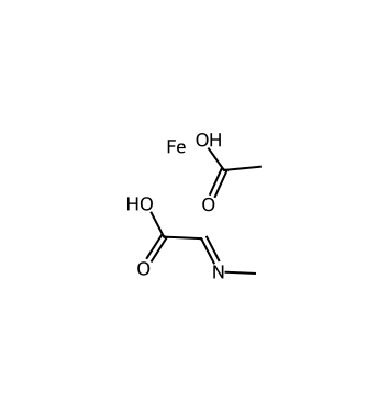 CC(=O)O.CN=CC(=O)O.[Fe]